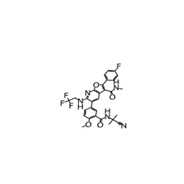 CNC(=O)c1c(-c2ccc(F)cc2)oc2nc(NCC(F)(F)F)c(-c3ccc(OC)c(C(=O)NC(C)(C)C#N)c3)cc12